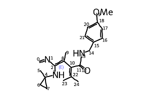 C=N/C(NC1(C)CC1)=C(\C)C(C(=O)NCc1ccc(OC)cc1)=C(C)C